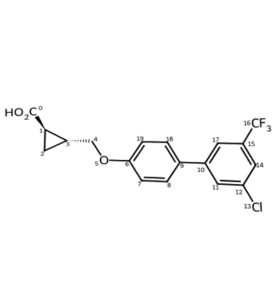 O=C(O)[C@@H]1C[C@H]1COc1ccc(-c2cc(Cl)cc(C(F)(F)F)c2)cc1